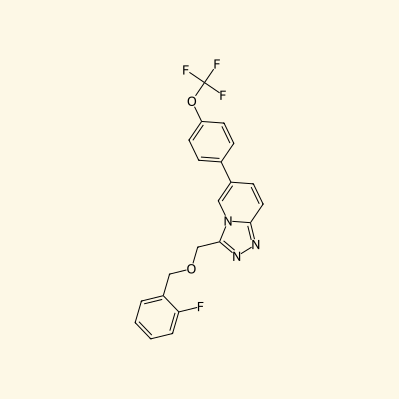 Fc1ccccc1COCc1nnc2ccc(-c3ccc(OC(F)(F)F)cc3)cn12